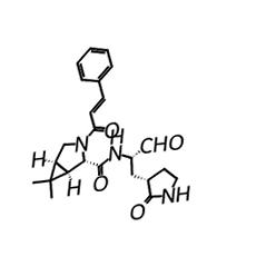 CC1(C)[C@@H]2[C@@H](C(=O)N[C@H](C=O)C[C@@H]3CCNC3=O)N(C(=O)/C=C/c3ccccc3)C[C@@H]21